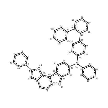 c1ccc(-c2nc3ccc4oc5cc(N(c6ccccc6)c6ccc(-c7ccccc7-c7ccccc7)cc6)ccc5c4c3o2)cc1